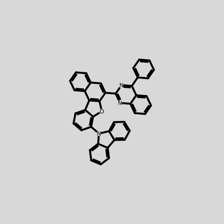 c1ccc(-c2nc(-c3cc4ccccc4c4c3oc3c(-n5c6ccccc6c6ccccc65)cccc34)nc3ccccc23)cc1